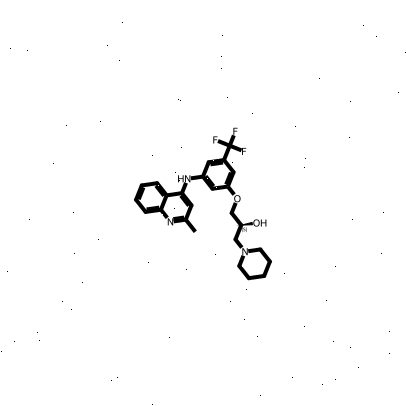 Cc1cc(Nc2cc(OC[C@@H](O)CN3CCCCC3)cc(C(F)(F)F)c2)c2ccccc2n1